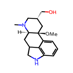 CO[C@]12C[C@@H](CO)CN(C)[C@@H]1CC1CNc3cccc2c31